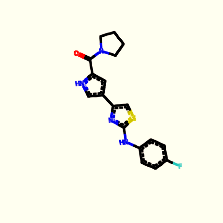 O=C(c1cc(-c2csc(Nc3ccc(F)cc3)n2)c[nH]1)N1CCCC1